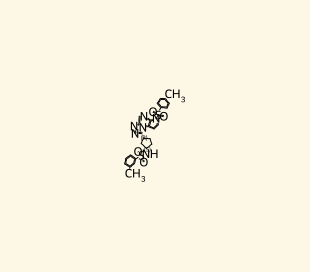 Cc1ccc(S(=O)(=O)n2ccc3c2ncc2nnc([C@@H]4CC[C@H](NS(=O)(=O)c5cccc(C)c5)C4)n23)cc1